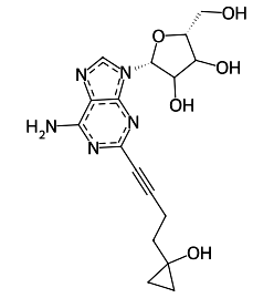 Nc1nc(C#CCCC2(O)CC2)nc2c1ncn2[C@@H]1O[C@H](CO)C(O)C1O